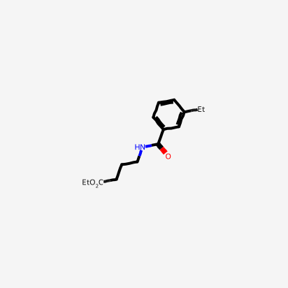 CCOC(=O)CCCNC(=O)c1cccc(CC)c1